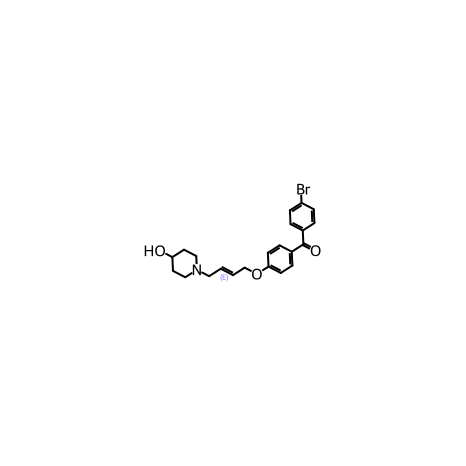 O=C(c1ccc(Br)cc1)c1ccc(OC/C=C/CN2CCC(O)CC2)cc1